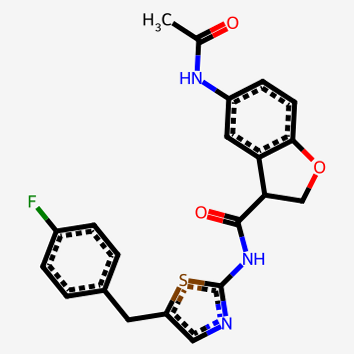 CC(=O)Nc1ccc2c(c1)C(C(=O)Nc1ncc(Cc3ccc(F)cc3)s1)CO2